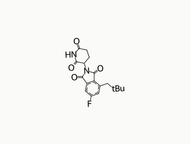 CC(C)(C)Cc1cc(F)cc2c1C(=O)N(C1CCC(=O)NC1=O)C2=O